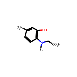 CCN(CC(=O)O)c1ccc([N+](=O)[O-])cc1O